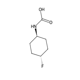 O=C(O)N[C@H]1CC[C@H](F)CC1